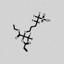 C=CC(=O)OC(OCCCC(F)(F)C(F)(F)S(=O)(=O)O)(C(=O)OCC)C(F)(F)F